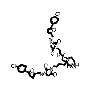 CN1CCNCC1(CCCCN1C(=O)CN(N=Cc2ccc(-c3ccc(Cl)cc3)o2)C1=O)CCCCN1C(=O)CN(N=Cc2ccc(-c3ccc(Cl)cc3)o2)C1=O.Cl